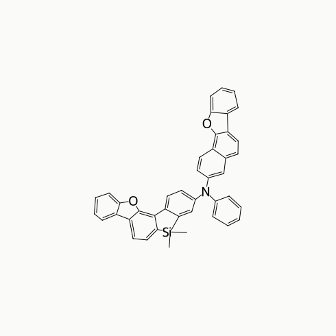 C[Si]1(C)c2cc(N(c3ccccc3)c3ccc4c(ccc5c6ccccc6oc45)c3)ccc2-c2c1ccc1c2oc2ccccc21